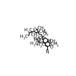 CCCC(C)(C)CC[C@@](C)(CCC(C)(C)[C@]1(C)CC[C@H]2C(C)(C)C(=O)C(C#N)=C[C@]2(C)[C@H]1CC(C)=O)C(C)=O